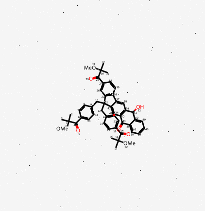 COC(C)(C)C(=O)c1ccc(CC2(Cc3ccc(C(=O)C(C)(C)OC)cc3)c3cc(C(=O)C(C)(C)OC)ccc3-c3cc4c(cc32)C(=O)c2ccccc2C4O)cc1